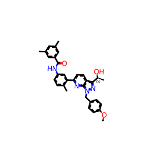 COc1ccc(Cn2nc([C@H](C)O)c3ccc(-c4cc(NC(=O)c5cc(C)cc(C)c5)ccc4C)nc32)cc1